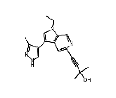 CCn1cc(-c2c[nH]nc2C)c2cc(C#CC(C)(C)O)ncc21